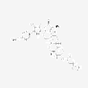 COc1ccc(-n2c(=O)c(C)c([C@@]34CC[C@]5(C)[C@H](CC[C@@H]6[C@@]7(C)CC[C@H](OC(=O)CC(C)(C)C(=O)O)C(C)(C)[C@@H]7CC[C@]65C)C3=C(C(C)C)C(=O)C4)n2C)cn1